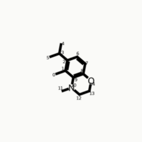 Cc1c(C(C)C)ccc2c1N(C)CCO2